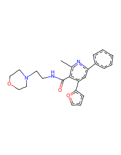 Cc1nc(-c2ccccc2)cc(-c2ccco2)c1C(=O)NCCN1CCOCC1